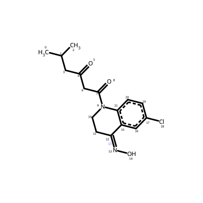 CC(C)CC(=O)CC(=O)N1CC/C(=N/O)c2cc(Cl)ccc21